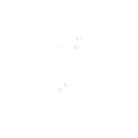 Cc1cc(C)n(C2CCC(C(=O)NN)CC2)n1